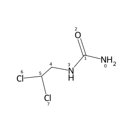 NC(=O)NCC(Cl)Cl